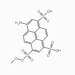 COOS(=O)(=O)c1cc(S(=O)(=O)O)c2ccc3c(S(=O)(=O)O)cc(N)c4ccc1c2c43